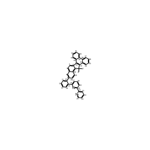 CC1(C)c2c(ccc3cc(-c4ccccc4-c4cccc(-c5ccccn5)n4)ccc23)-c2c1c1ccccc1c1ccccc21